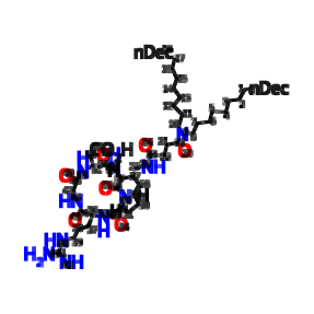 CCCCCCCCCCCCCCCCCCN(CCCCCCCCCCCCCCCCCC)C(=O)CCC(=O)NC[C@@H]1C[C@@H]2CC[C@H]3C(=O)N[C@@H](CCCNC(=N)N)C(=O)NCC(=O)N[C@@H](CC(=O)O)C(=O)N[C@H]1C(=O)N23